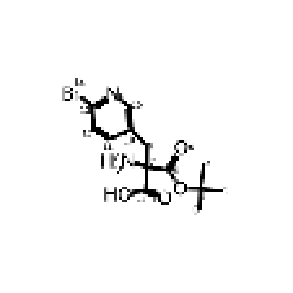 CC(C)(C)OC(=O)C(N)(Cc1ccc(Br)nc1)C(=O)O